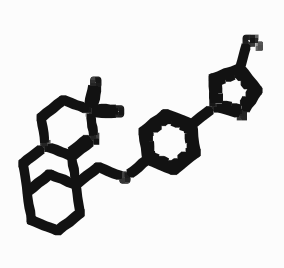 O=S1(=O)CCN2CC3CCCC(COc4ccc(-n5cc(C(F)(F)F)cn5)cc4)(C3)C2=N1